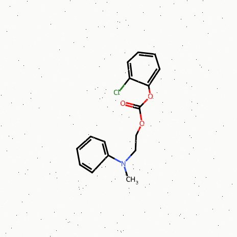 CN(CCOC(=O)Oc1ccccc1Cl)c1ccccc1